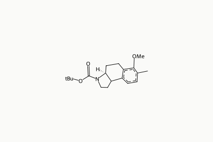 COc1c(C)ccc2c1CC[C@H]1C2CCN1C(=O)OC(C)(C)C